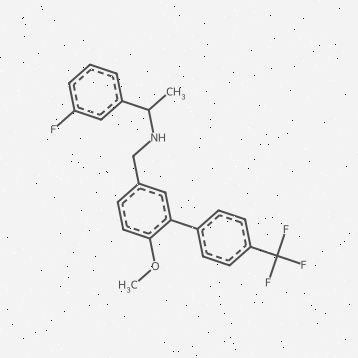 COc1ccc(CNC(C)c2cccc(F)c2)cc1-c1ccc(C(F)(F)F)cc1